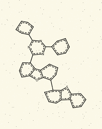 c1ccc(-c2nc(-c3ccccc3)nc(-c3cccc4oc5c(-c6cccc7c6sc6ccccc67)cccc5c34)n2)cc1